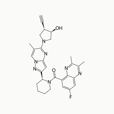 C#C[C@@H]1CN(c2nc3cc([C@@H]4CCCCN4C(=O)c4cc(F)cc5nc(C)c(C)nc45)nn3cc2C)C[C@@H]1O